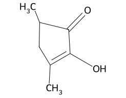 CC1=C(O)C(=O)C(C)C1